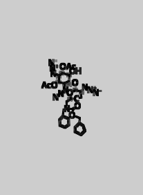 CC(=O)O[C@@H]1[C@@H](N=[N+]=[N-])[C@H](OC(C)=O)[C@@H](O)[C@H](O[C@H]2O[C@H](CN(Cc3ccccc3)C(=O)OCc3ccccc3)CC[C@H]2N=[N+]=[N-])[C@H]1N=[N+]=[N-]